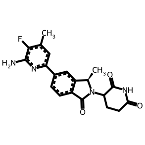 Cc1cc(-c2ccc3c(c2)[C@@H](C)N(C2CCC(=O)NC2=O)C3=O)nc(N)c1F